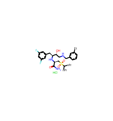 CCCC(CCC)S(=O)(=O)C[C@H](N[C@@H](Cc1cc(F)cc(F)c1)[C@H](O)CNCc1cccc(CC)c1)C(N)=O.Cl